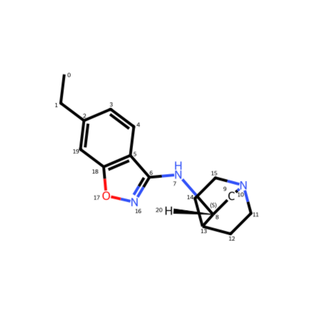 CCc1ccc2c(N[C@@H]3CN4CCC3CC4)noc2c1